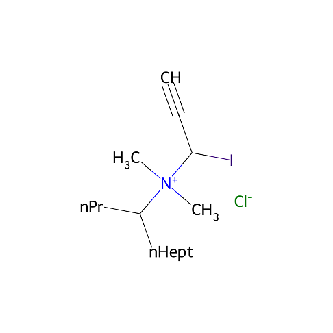 C#CC(I)[N+](C)(C)C(CCC)CCCCCCC.[Cl-]